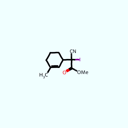 COC(=O)C(I)(C#N)C1C=C(C)CCC1